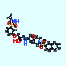 O=S(=O)(NC1CC1)c1cccc(OCC(O)CNC2COC3(CCN(S(=O)(=O)c4ccc5ccccc5c4)CC3)C2)c1